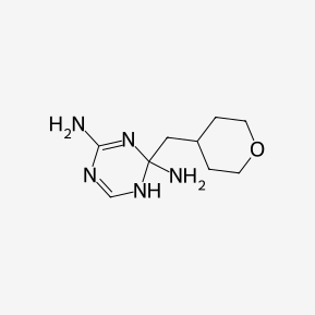 NC1=NC(N)(CC2CCOCC2)NC=N1